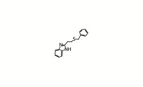 c1ccc(CSCCc2nc3ccccc3[nH]2)cc1